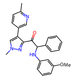 COc1cccc(NC(C(=O)c2nn(C)cc2-c2ccc(C)nc2)c2ccccc2)c1